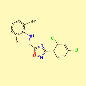 CC(C)c1cccc(C(C)C)c1NCc1nc(C2C=CC(Cl)=CC2Cl)no1